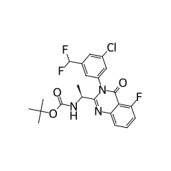 C[C@H](NC(=O)OC(C)(C)C)c1nc2cccc(F)c2c(=O)n1-c1cc(Cl)cc(C(F)F)c1